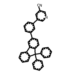 N#Cc1cncc(-c2cccc(-c3ccc4c(c3)-c3ccccc3C4(c3ccccc3)c3ccccc3)c2)c1